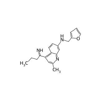 CCCC(=N)c1cc(C)nc2cc(NCc3ccco3)ccc12